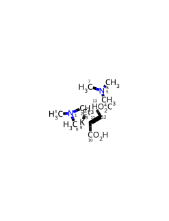 CN(C)C.CN(C)C.C[CH2][K].O=C(O)/C=C/C(=O)O